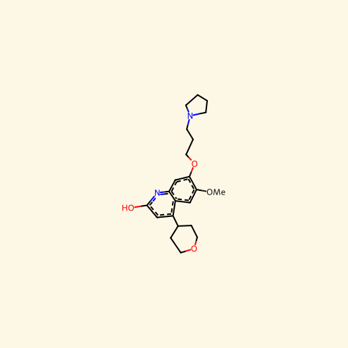 COc1cc2c(C3CCOCC3)cc(O)nc2cc1OCCCN1CCCC1